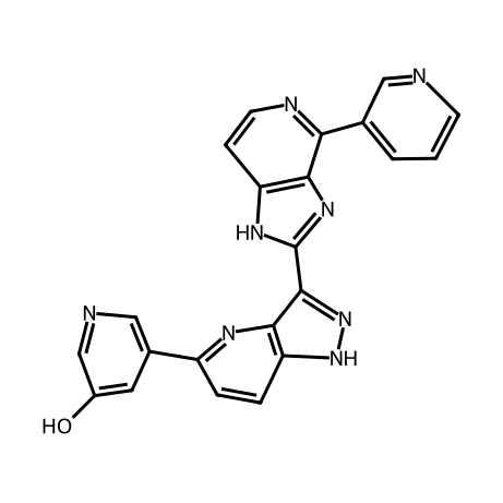 Oc1cncc(-c2ccc3[nH]nc(-c4nc5c(-c6cccnc6)nccc5[nH]4)c3n2)c1